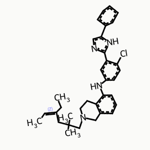 C/C=C(/CC)CC(C)(C)CN1CCc2c(cccc2Nc2ccc(Cl)c(-c3ncc(-c4ccccc4)[nH]3)c2)C1